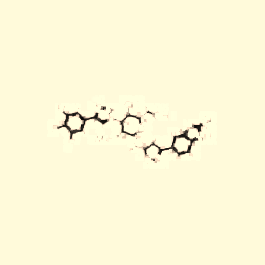 CO[C@@H]1[C@@H](n2cc(-c3cc(F)c(F)c(F)c3)nn2)[C@@H](O)[C@@H](CO)O[C@@H]1C[C@H]1CC(c2ccc3[nH]c(=O)oc3c2)=NO1